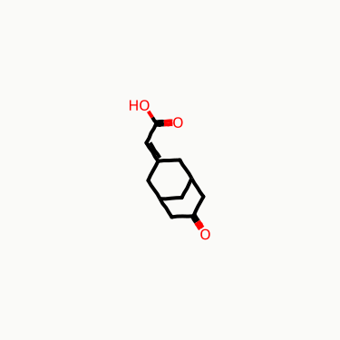 O=C(O)C=C1CC2CC(=O)CC(C1)C2